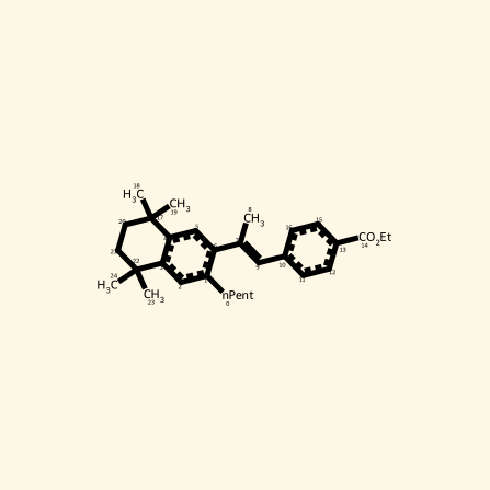 CCCCCc1cc2c(cc1C(C)=Cc1ccc(C(=O)OCC)cc1)C(C)(C)CCC2(C)C